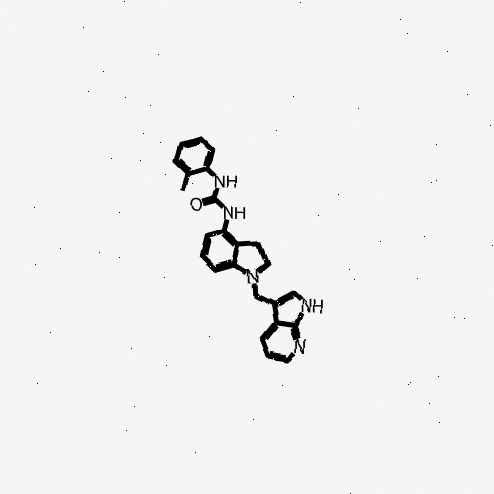 Cc1ccccc1NC(=O)Nc1cccc2c1CCN2Cc1c[nH]c2ncccc12